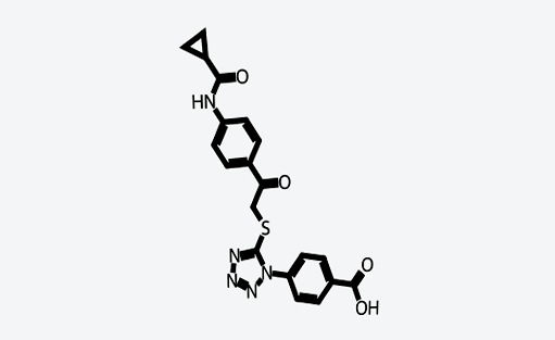 O=C(O)c1ccc(-n2nnnc2SCC(=O)c2ccc(NC(=O)C3CC3)cc2)cc1